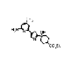 CCOC(=O)[C@H]1CC[C@@](O)(c2ncc(-c3cc(C)cc(N)n3)s2)CC1